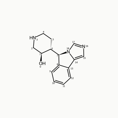 O[C@H]1CNCC[C@@H]1[C@@H]1c2ccccc2-c2cncn21